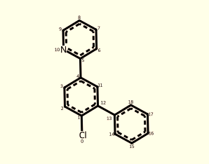 Clc1ccc(-c2ccccn2)cc1-c1ccccc1